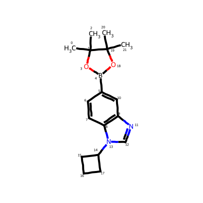 CC1(C)OB(c2ccc3c(c2)ncn3C2CCC2)OC1(C)C